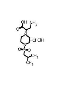 CC(C)CS(=O)(=O)N1CCN(C(CN)C(=O)O)CC1.Cl.Cl